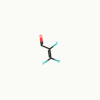 O=CC(F)=C(F)F